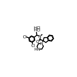 CC(c1cc(Cl)cc(Cl)c1)N(C)C(=O)C1(N2CCNCC2)Cc2ccccc2C1.Cl.Cl